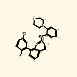 Fc1ccc(Cl)cc1-c1cccc2cnc(Nc3ccccc3N3CCOCC3)nc12